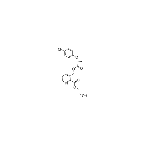 CC(C)(Oc1ccc(Cl)cc1)C(=O)OCc1cccnc1C(=O)OCCO